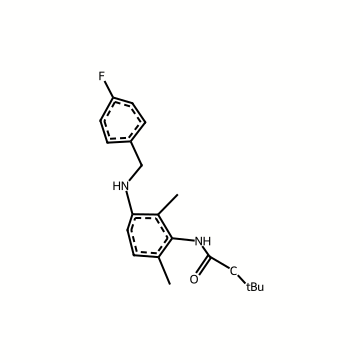 Cc1ccc(NCc2ccc(F)cc2)c(C)c1NC(=O)CC(C)(C)C